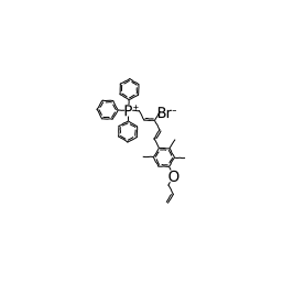 C=CCOc1cc(C)c(C=CC(C)=CC[P+](c2ccccc2)(c2ccccc2)c2ccccc2)c(C)c1C.[Br-]